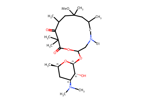 CCN1CC(C)CC(C)(OC)CC(C)C(=O)C(C)(C)C(=O)OC(O[C@@H]2O[C@H](C)C[C@H](N(C)C)[C@H]2O)C1